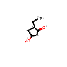 CCCCCC1CC(O)CC1=O